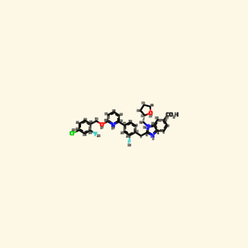 O=C(O)c1ccc2nc(Cc3ccc(-c4cccc(OCc5ccc(Cl)cc5F)n4)cc3F)n(C[C@@H]3CCCO3)c2c1